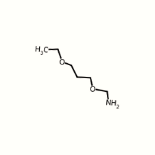 CCOCCCOCN